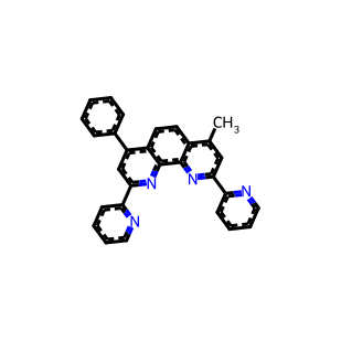 Cc1cc(-c2ccccn2)nc2c1ccc1c(-c3ccccc3)cc(-c3ccccn3)nc12